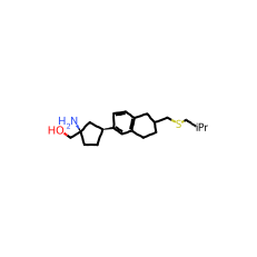 CC(C)CSCC1CCc2cc([C@H]3CC[C@](N)(CO)C3)ccc2C1